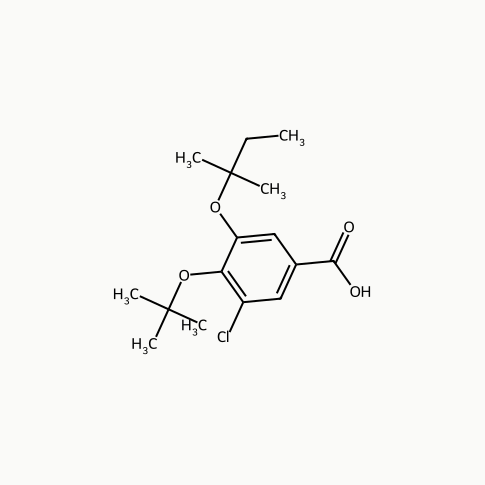 CCC(C)(C)Oc1cc(C(=O)O)cc(Cl)c1OC(C)(C)C